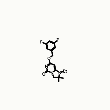 CCN1c2cc(OCc3cc(F)cc(F)c3)nc(=O)n2CC1(C)C